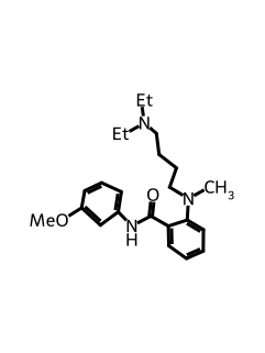 CCN(CC)CCCCN(C)c1ccccc1C(=O)Nc1cccc(OC)c1